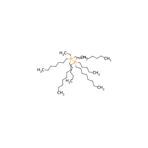 CCCCCCCCP(CC)(CCCCC)(CCCCCCC)P(CC)(CCCCC)(CCCCCCCC)CCCCCCCC